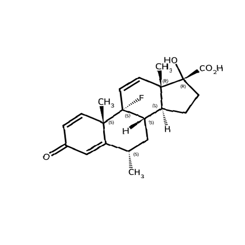 C[C@H]1C[C@H]2[C@@H]3CC[C@](O)(C(=O)O)[C@@]3(C)C=C[C@]2(F)[C@@]2(C)C=CC(=O)C=C12